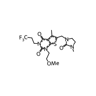 COCCn1c(=O)n(CCC(F)(F)F)c(=O)c2c(C)c(CN3CCN(C)C3=O)sc21